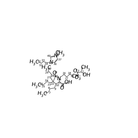 CC(O)C(=O)[O-].CCCCC1C(C(=O)O)N(CCCC)C(=O)C1(CCCC)CCCC.CCCCn1cc[n+](C)c1